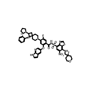 CC(C)c1ccccc1[C@@H]1CCCN1C1CC2(CCN(c3cc(Oc4cnc5[nH]ccc5c4)c(C(=O)NS(=O)(=O)c4cc([N+](=O)[O-])c(NCC5(F)CCOCC5)c5scnc45)cc3F)CC2)C1